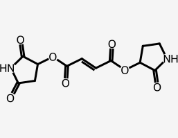 O=C1CC(OC(=O)/C=C/C(=O)OC2CCNC2=O)C(=O)N1